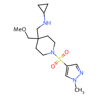 COCC1(CNC2CC2)CCN(S(=O)(=O)c2cnn(C)c2)CC1